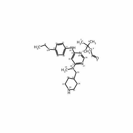 CC(C)(C)OC=O.CCSc1ccc(Nc2cc(N(C)CC3CCNCC3)ncn2)cc1